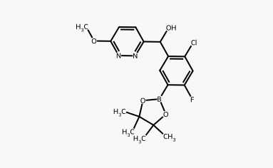 COc1ccc(C(O)c2cc(B3OC(C)(C)C(C)(C)O3)c(F)cc2Cl)nn1